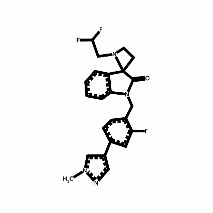 Cn1cc(-c2ccc(CN3C(=O)C4(CCN4CC(F)F)c4ccccc43)c(F)c2)cn1